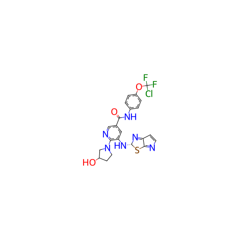 O=C(Nc1ccc(OC(F)(F)Cl)cc1)c1cnc(N2CCC(O)C2)c(N[C@@H]2N=C3C=CN=C3S2)c1